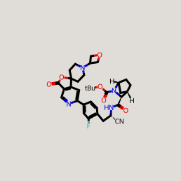 CC(C)(C)OC(=O)N1[C@@H]2CC[C@@H](C2)[C@H]1C(=O)N[C@H](C#N)Cc1ccc(-c2cc3c(cn2)C(=O)OC32CCN(C3COC3)CC2)cc1F